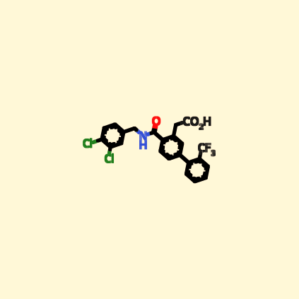 O=C(O)Cc1cc(-c2ccccc2C(F)(F)F)ccc1C(=O)NCc1ccc(Cl)c(Cl)c1